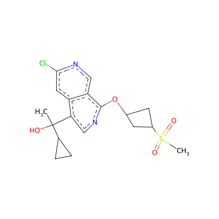 CC(O)(c1cnc(OC2CC(S(C)(=O)=O)C2)c2cnc(Cl)cc12)C1CC1